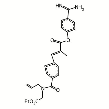 C=CCN(CC(=O)OCC)C(=O)c1ccc(/C=C(\C)C(=O)Oc2ccc(C(=N)N)cc2)cc1